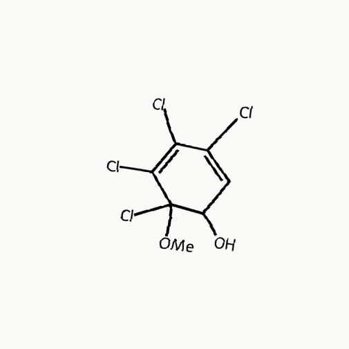 COC1(Cl)C(Cl)=C(Cl)C(Cl)=CC1O